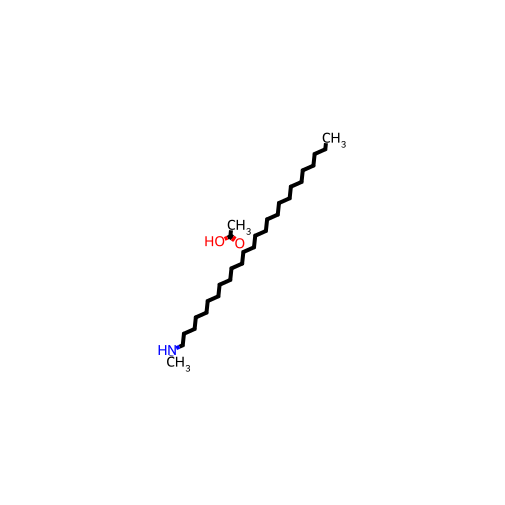 CC(=O)O.CCCCCCCCCCCCCCCCCCCCCCCCCCNC